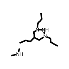 CCCC1CN(CCC)NN(CCC)C1.CNC